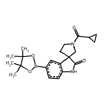 CC1(C)OB(c2ccc3c(c2)C2(CCN(C(=O)C4CC4)C2)C(=O)N3)OC1(C)C